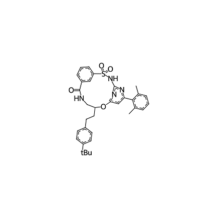 Cc1cccc(C)c1-c1cc2nc(n1)NS(=O)(=O)c1cccc(c1)C(=O)NCC(CCc1ccc(C(C)(C)C)cc1)O2